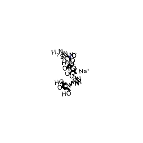 CO/N=C(\C(=O)N[C@@H]1C(=O)N2C(C(=O)[O-])=C(CSc3nnnn3CCn3cc(O)c(=O)cc3CO)CS[C@@H]12)c1nsc(N)n1.[Na+]